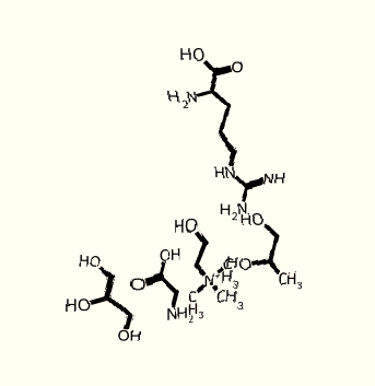 CC(O)CO.C[N+](C)(C)CCO.N=C(N)NCCCC(N)C(=O)O.NCC(=O)O.OCC(O)CO